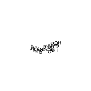 CN(C)c1ccc(C(=O)NCC2Cc3c(sc(NC(=O)C(=O)O)c3C(=O)O)CO2)cc1